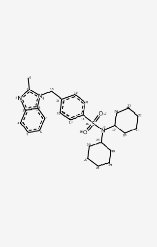 Cc1nc2ccccc2n1Cc1ccc(S(=O)(=O)N(C2CCCCC2)C2CCCCC2)cc1